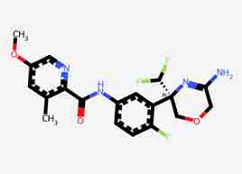 COc1cnc(C(=O)Nc2ccc(F)c([C@]3(C(F)F)COCC(N)=N3)c2)c(C)c1